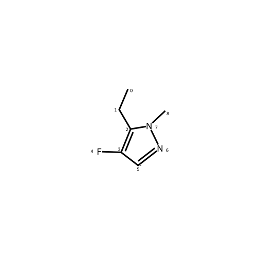 CCc1c(F)[c]nn1C